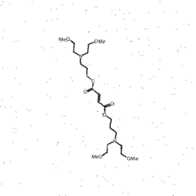 COCCN(CCCOC(=O)/C=C/C(=O)OCCCN(CCOC)CCOC)CCOC